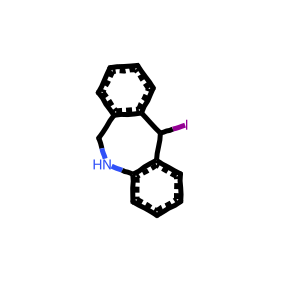 IC1c2ccccc2CNc2ccccc21